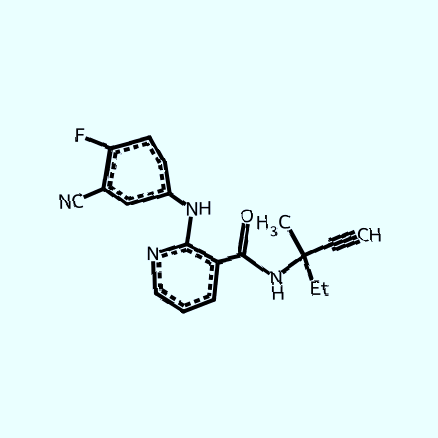 C#CC(C)(CC)NC(=O)c1cccnc1Nc1ccc(F)c(C#N)c1